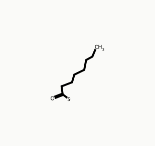 CCCCCCCC(=O)[S]